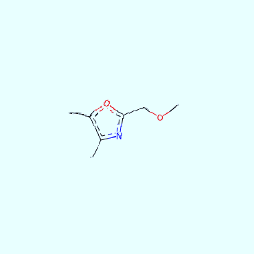 [CH2]c1nc(COC)oc1C